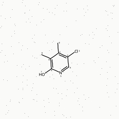 Cc1c(Cl)cnc(O)c1C